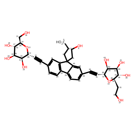 O=C(O)CCC1(CCO)c2cc(C#C[C@H]3O[C@H](CO)[C@@H](O)[C@H](O)[C@@H]3O)ccc2-c2ccc(C#C[C@H]3O[C@H](CCO)[C@@H](O)[C@H](O)[C@@H]3O)cc21